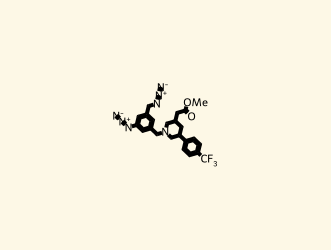 COC(=O)CC1CC(c2ccc(C(F)(F)F)cc2)CN(Cc2cc(CN=[N+]=[N-])cc(N=[N+]=[N-])c2)C1